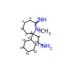 CN1C(=N)CCCCC1(CCN)C1CCCCC1